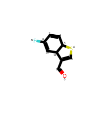 O=CC1=CSC2C=CC(F)=CC12